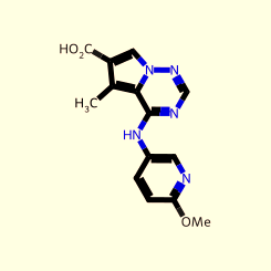 COc1ccc(Nc2ncnn3cc(C(=O)O)c(C)c23)cn1